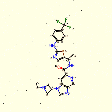 CCN1CC(n2cnc3cnc(C(=O)N[C@H](C)c4cnc(Nc5ccc(C(F)(F)F)cc5)s4)cc32)C1